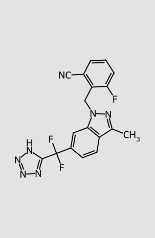 Cc1nn(Cc2c(F)cccc2C#N)c2cc(C(F)(F)c3nnn[nH]3)ccc12